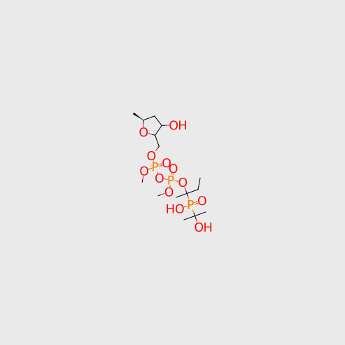 CCC(C)(OP(=O)(OC)OP(=O)(OC)OCC1O[C@@H](C)CC1O)P(=O)(O)C(C)(C)O